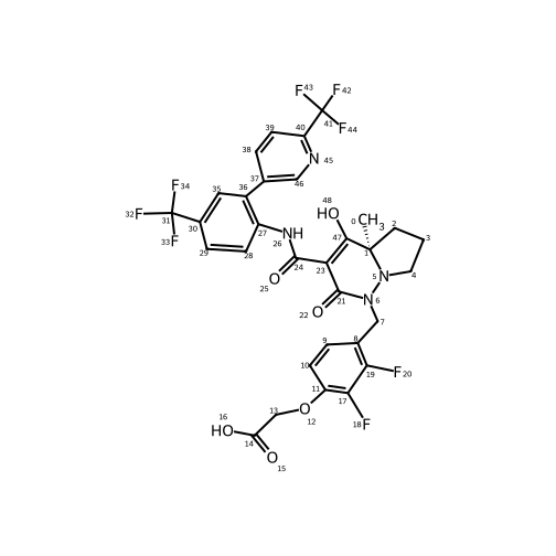 C[C@]12CCCN1N(Cc1ccc(OCC(=O)O)c(F)c1F)C(=O)C(C(=O)Nc1ccc(C(F)(F)F)cc1-c1ccc(C(F)(F)F)nc1)=C2O